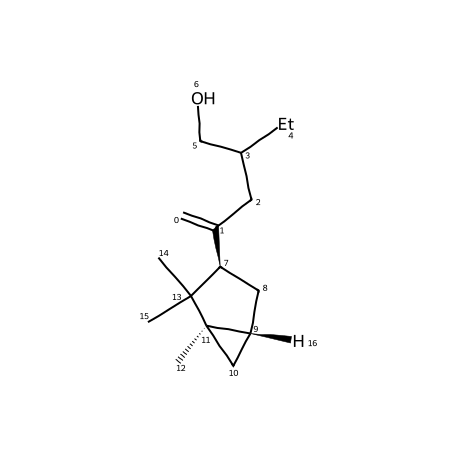 C=C(CC(CC)CO)[C@H]1C[C@@H]2C[C@@]2(C)C1(C)C